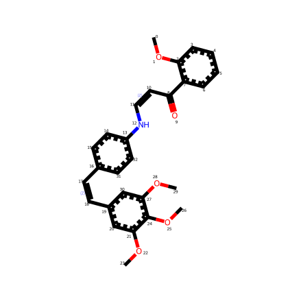 COc1ccccc1C(=O)/C=C\Nc1ccc(/C=C\c2cc(OC)c(OC)c(OC)c2)cc1